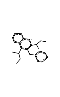 CCC(C)c1[c]c2ccccc2c(C(C)CC)c1Cc1ccccc1